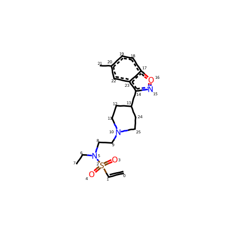 C=CS(=O)(=O)N(CC)CCN1CCC(c2noc3ccc(C)cc23)CC1